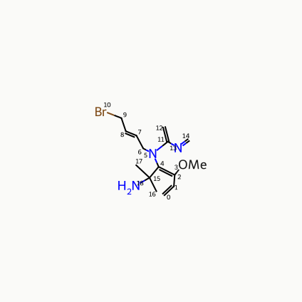 C=C/C(OC)=C(/N(C/C=C/CBr)C(=C)N=C)C(C)(C)N